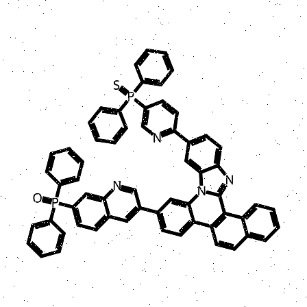 O=P(c1ccccc1)(c1ccccc1)c1ccc2cc(-c3ccc4c5ccc6ccccc6c5c5nc6ccc(-c7ccc(P(=S)(c8ccccc8)c8ccccc8)cn7)cc6n5c4c3)cnc2c1